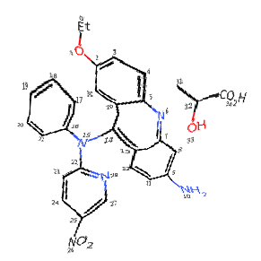 CCOc1ccc2nc3cc(N)ccc3c(N(c3ccccc3)c3ccc([N+](=O)[O-])cn3)c2c1.C[C@H](O)C(=O)O